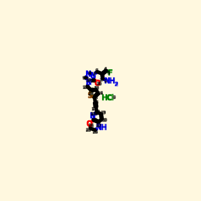 Cl.NC/C(=C\F)Cn1ncn(Cc2ccc(C#Cc3ccc4c(n3)OCCN4)s2)c1=O